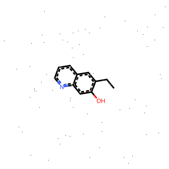 CCc1cc2cccnc2cc1O